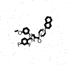 CCOc1cccc(-n2cc(C(=O)N3CCN(c4ccc5ccccc5c4)CC3)nc2-c2ccc(F)cc2F)c1